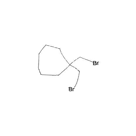 BrCC1(CBr)CCCCC1